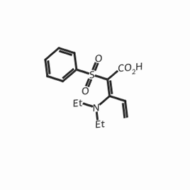 C=CC(=C(C(=O)O)S(=O)(=O)c1ccccc1)N(CC)CC